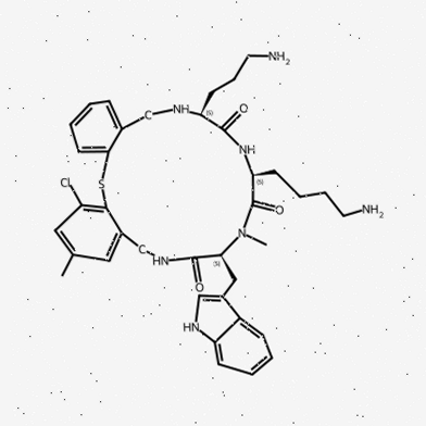 Cc1cc(Cl)c2c(c1)CNC(=O)[C@H](Cc1c[nH]c3ccccc13)N(C)C(=O)[C@H](CCCCN)NC(=O)[C@H](CCCN)NCc1ccccc1S2